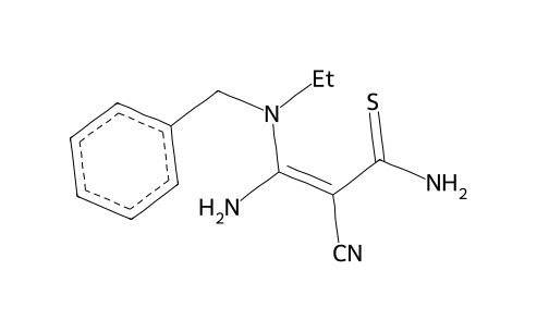 CCN(Cc1ccccc1)C(N)=C(C#N)C(N)=S